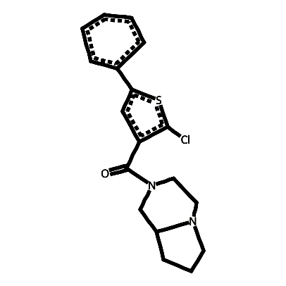 O=C(c1cc(-c2ccccc2)sc1Cl)N1CCN2CCCC2C1